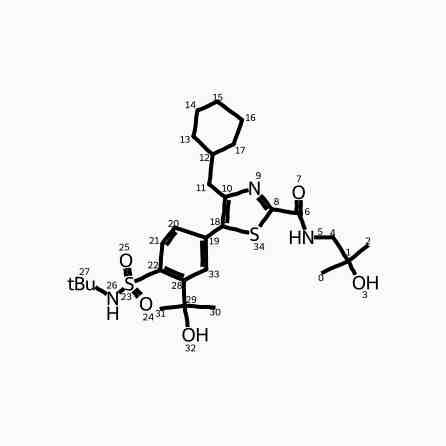 CC(C)(O)CNC(=O)c1nc(CC2CCCCC2)c(-c2ccc(S(=O)(=O)NC(C)(C)C)c(C(C)(C)O)c2)s1